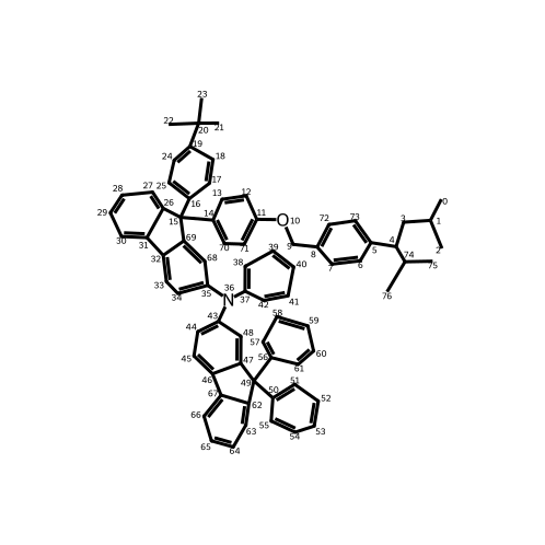 CC(C)CC(c1ccc(COc2ccc(C3(c4ccc(C(C)(C)C)cc4)c4ccccc4-c4ccc(N(c5ccccc5)c5ccc6c(c5)C(c5ccccc5)(c5ccccc5)c5ccccc5-6)cc43)cc2)cc1)C(C)C